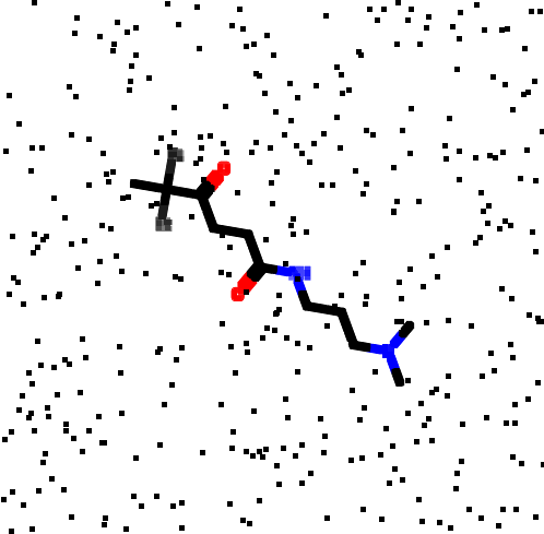 CCC(C)(CC)C(=O)CCC(=O)NCCCN(C)C